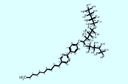 CCCCCCCCCCc1cnc(-c2ccc(OC(OC(F)(F)C(F)(F)C(F)C(F)(F)F)C(F)(F)C(F)(F)C(F)(F)OC(F)(F)C(F)(F)C(F)(F)C(F)(F)F)cc2)nc1